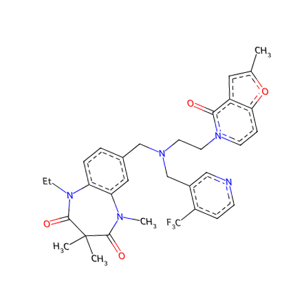 CCN1C(=O)C(C)(C)C(=O)N(C)c2cc(CN(CCn3ccc4oc(C)cc4c3=O)Cc3cnccc3C(F)(F)F)ccc21